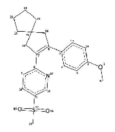 COc1ccc(C2=C(c3ccc(S(C)(=O)=O)cn3)CC3(CCCC3)C2)cc1